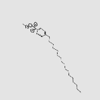 CCCCCCCCCCCCCCCCCc1ccc(S(=O)(=O)OOC)cc1